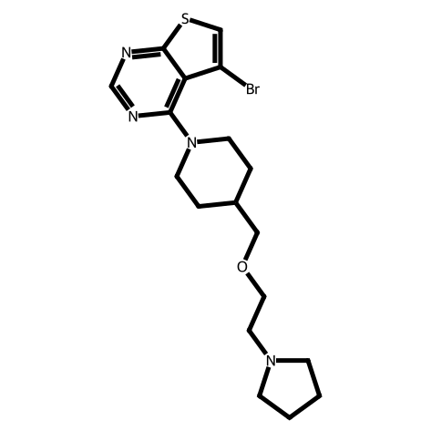 Brc1csc2ncnc(N3CCC(COCCN4CCCC4)CC3)c12